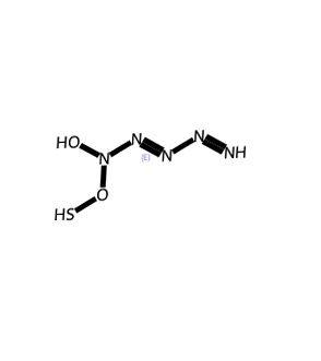 N=N/N=N/N(O)OS